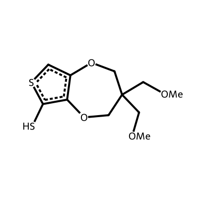 COCC1(COC)COc2csc(S)c2OC1